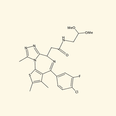 COC(CNC(=O)CC1N=C(c2ccc(Cl)c(F)c2)c2c(sc(C)c2C)-n2c(C)nnc21)OC